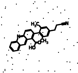 Cc1cc(CCC#N)cc(C)c1-c1ccc2nc3ccccc3cc2c1C(=O)O